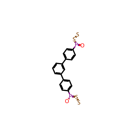 O=P(=S=S)c1ccc(-c2cccc(-c3ccc(P(=O)=S=S)cc3)c2)cc1